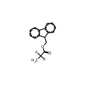 CC(F)(F)C(=O)OCC1c2ccccc2-c2ccccc21